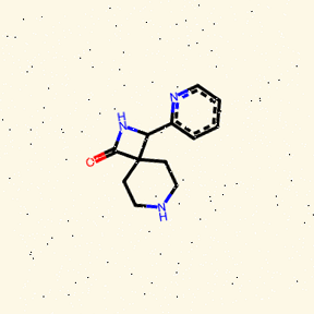 O=C1NC(c2ccccn2)C12CCNCC2